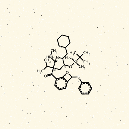 CNC(=O)[C@](C[C@H](O[Si](C)(C)C(C)(C)C)[C@@H](N)CC1CCCCC1)(C(=O)c1cccc2c1OC2Sc1ccccc1)C(C)C